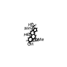 CO[C@@H]1CC2C3CC[C@H](C(C)(O)OC)[C@@]3(C)C[C@H](O)C2[C@@]2(C)CC[C@H](O)C[C@]12O